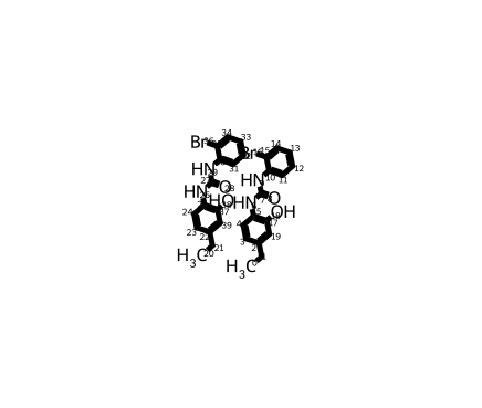 CCc1ccc(NC(=O)Nc2ccccc2Br)c(O)c1.CCc1ccc(NC(=O)Nc2ccccc2Br)c(O)c1